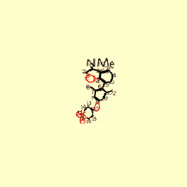 CN[C@@H]1COc2c(-c3c(C)cc(OC4CCS(=O)(=O)CC4)cc3C)cccc21